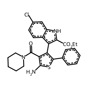 CCOC(=O)c1[nH]c2cc(Cl)ccc2c1-c1c(-c2ccccc2)sc(N)c1C(=O)N1CCCCC1